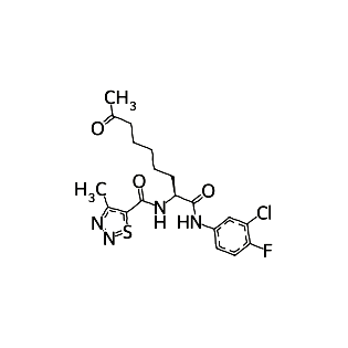 CC(=O)CCCCC[C@H](NC(=O)c1snnc1C)C(=O)Nc1ccc(F)c(Cl)c1